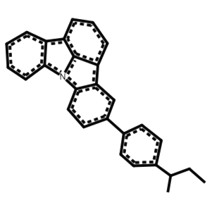 CCC(C)c1ccc(-c2ccc3c(c2)c2cccc4c5ccccc5n3c42)cc1